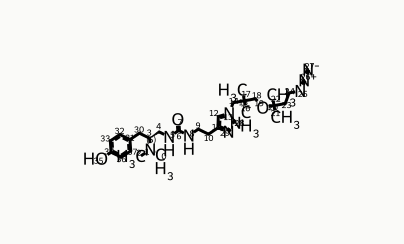 CN(C)[C@H](CNC(=O)NCCc1cn(CC(C)(C)COC(C)(C)CCN=[N+]=[N-])nn1)Cc1ccc(O)cc1